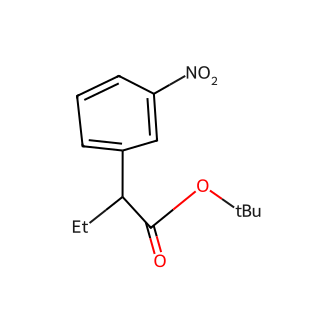 CCC(C(=O)OC(C)(C)C)c1cccc([N+](=O)[O-])c1